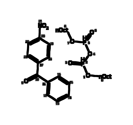 CCCCCCCCO[PH](=O)O[PH](=O)OCCCCCCCC.O=C(c1ccccc1)c1ccc([N+](=O)[O-])cc1